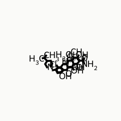 CC(C)C1CCN(Cc2cc(O)c3c(c2Cl)C[C@H]2C[C@H]4[C@H](N(C)C)C(O)=C(C(N)=O)C(=O)[C@@]4(O)C(O)=C2C3=O)CC1